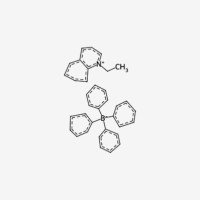 CC[n+]1cccc2ccccc21.c1ccc([B-](c2ccccc2)(c2ccccc2)c2ccccc2)cc1